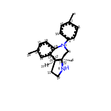 Cc1ccc(N2C[C@@]3(C)NCC[C@H]3c3cc(C)ccc32)cc1